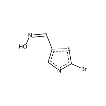 O/N=C\c1cnc(Br)s1